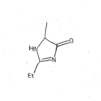 CCC1=NC(=O)C(C)N1